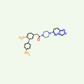 O=C(Cc1ccc(P)c(-c2ccc(P)cc2)c1)N1CCN(c2ccc3nncn3n2)CC1